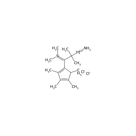 CC1=C(C)C(C)C(C(=[Si](C)C)[C](C)(C)[Hf+2][NH2])=C1C.[Cl-].[Cl-]